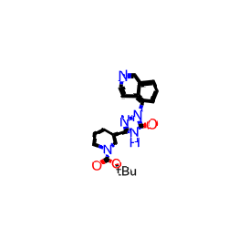 CC(C)(C)OC(=O)N1CCCC(c2nn(-c3cccc4cnccc34)c(=O)[nH]2)C1